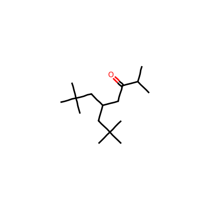 CC(C)C(=O)CC(CC(C)(C)C)CC(C)(C)C